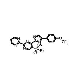 CCS(=O)(=O)c1cnc(-c2ncccn2)nc1-c1ncc(-c2ccc(OC(F)(F)F)cc2)n1C